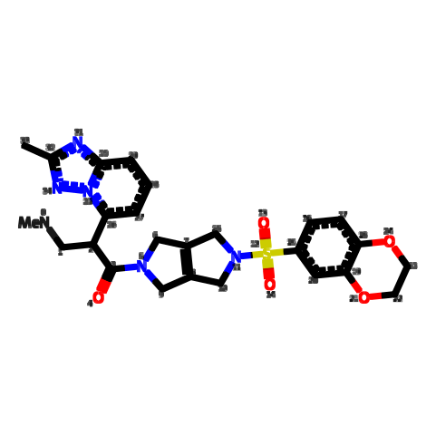 CNCC(C(=O)N1CC2=C(C1)CN(S(=O)(=O)c1ccc3c(c1)OCCO3)C2)c1cccc2nc(C)nn12